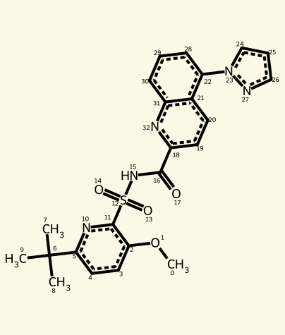 COc1ccc(C(C)(C)C)nc1S(=O)(=O)NC(=O)c1ccc2c(-n3cccn3)cccc2n1